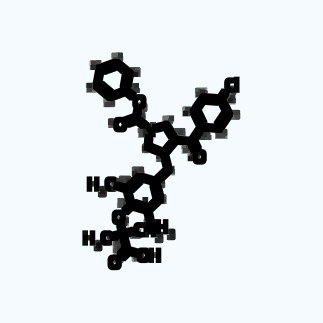 Cc1cc(CC2CN(C(=O)Oc3ccccc3)CC2C(=O)c2ccc(Cl)cc2)cc(C)c1OC(C)(C)C(=O)O